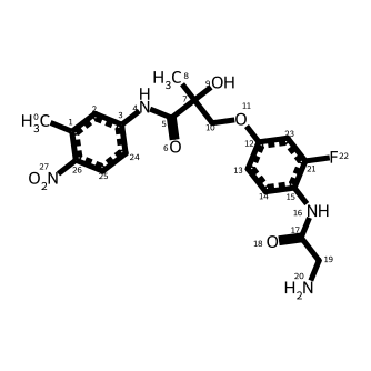 Cc1cc(NC(=O)C(C)(O)COc2ccc(NC(=O)CN)c(F)c2)ccc1[N+](=O)[O-]